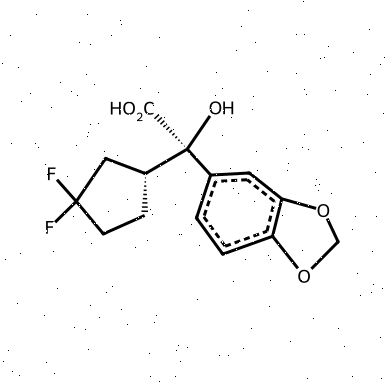 O=C(O)[C@](O)(c1ccc2c(c1)OCO2)[C@@H]1CCC(F)(F)C1